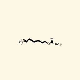 COC(=O)OCCCCCCN